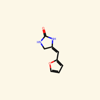 O=C1NCC(=Cc2ccco2)N1